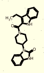 CCc1c(C(=O)N2CCC(n3c(=O)[nH]c4ccccc43)CC2)[nH]c2ccccc12